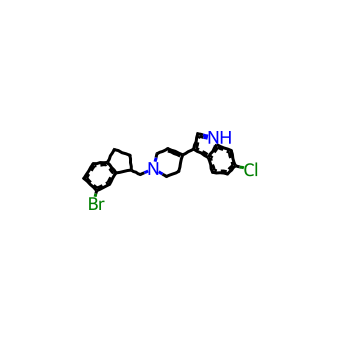 Clc1ccc2c(C3=CCN(CC4CCc5ccc(Br)cc54)CC3)c[nH]c2c1